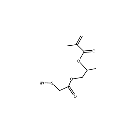 C=C(C)C(=O)OC(C)COC(=O)CSC(C)C